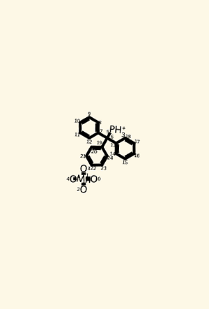 [O]=[Mn](=[O])(=[O])[O-].[PH3+]C(c1ccccc1)(c1ccccc1)c1ccccc1